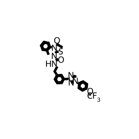 Cc1ccccc1N1C(=O)CS/C1=N\C(=O)NCCc1cccc(-c2ncn(-c3ccc(OC(F)(F)F)cc3)n2)c1